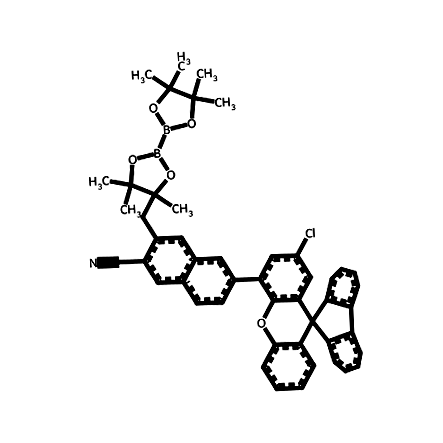 CC1(C)OB(B2OC(C)(C)C(C)(Cc3cc4cc(-c5cc(Cl)cc6c5Oc5ccccc5C65c6ccccc6-c6ccccc65)ccc4cc3C#N)O2)OC1(C)C